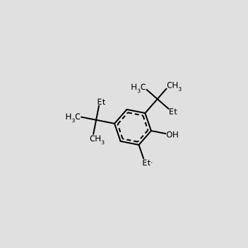 C[CH]c1cc(C(C)(C)CC)cc(C(C)(C)CC)c1O